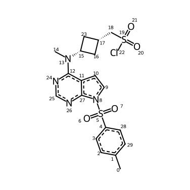 Cc1ccc(S(=O)(=O)n2ccc3c(N(C)[C@H]4C[C@@H](CS(=O)(=O)Cl)C4)ncnc32)cc1